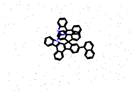 c1ccc(-c2nc(-n3c4ccccc4c4c5ccccc5c5c(c43)C3(c4ccccc4-c4ccccc43)c3cc(-c4cccc6ccccc46)ccc3-5)nc3ccccc23)cc1